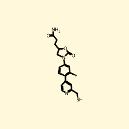 NC(=O)CCC1CN(c2ccc(-c3ccnc(CS)c3)c(F)c2)C(=O)O1